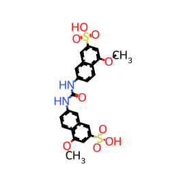 COc1cc(S(=O)(=O)O)cc2cc(NC(=O)Nc3ccc4c(OC)cc(S(=O)(=O)O)cc4c3)ccc12